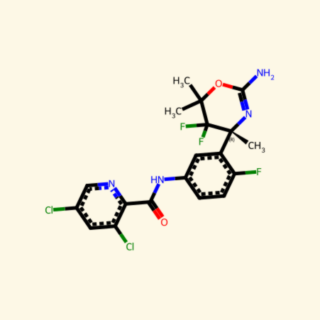 CC1(C)OC(N)=N[C@](C)(c2cc(NC(=O)c3ncc(Cl)cc3Cl)ccc2F)C1(F)F